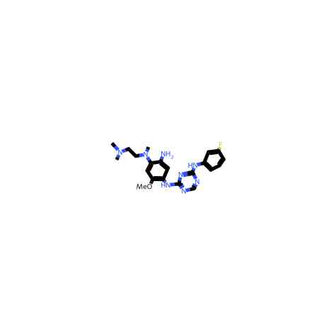 COc1cc(N(C)CCN(C)C)c(N)cc1Nc1ncnc(Nc2cccc(F)c2)n1